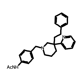 CC(=O)Nc1ccc(CN2CCCC(CCc3ccccc3)(c3ccccn3)C2)cc1